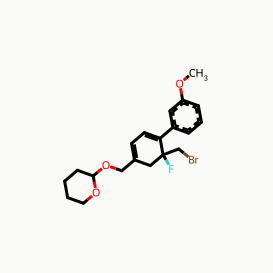 COc1cccc(C2=CC=C(COC3CCCCO3)CC2(F)CBr)c1